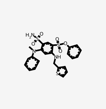 CN(c1ccccc1)c1cc(NCc2cccs2)c(S(=O)(=O)Oc2ccccc2)cc1S(N)(=O)=O